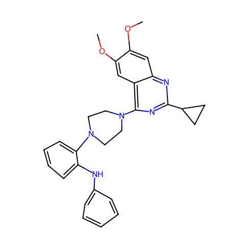 COc1cc2nc(C3CC3)nc(N3CCN(c4ccccc4Nc4ccccc4)CC3)c2cc1OC